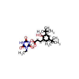 CCn1c(=O)[nH]c(=O)n(OC(=O)CCc2cc(C(C)(C)C)cc(C(C)(C)C)c2O)c1=O